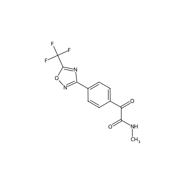 CNC(=O)C(=O)c1ccc(-c2noc(C(F)(F)F)n2)cc1